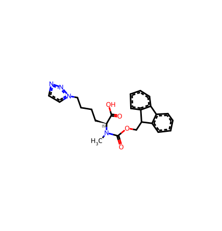 CN(C(=O)OCC1c2ccccc2-c2ccccc21)[C@@H](CCCCn1ccnn1)C(=O)O